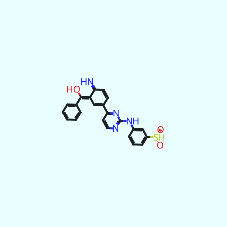 N=C1C=CC(c2ccnc(Nc3cccc([SH](=O)=O)c3)n2)=C/C1=C(/O)c1ccccc1